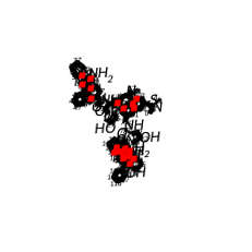 Cc1ncsc1-c1ccc(CNC(=O)[C@@H]2C[C@@H](O)CN2C(=O)[C@@H](NC(=O)C2CCC(c3cnc(N4C5CCC4CN(c4cc(-c6ccccc6O)nnc4N)C5)nc3)CC2C)C(C)(C)CCc2ncsc2-c2ccc(CNC(=O)[C@@H]3C[C@@H](O)CN3C(=O)[C@@H](NC(=O)[C@@H]3CC4CCC3C[C@@H]4c3cnc(N4C5CCC4CN(c4cc(-c6ccccc6O)nnc4N)C5)nc3)C(C)(C)C)cc2)cc1